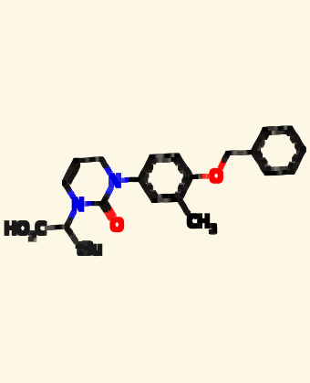 Cc1cc(N2CC=CN(C(C(=O)O)C(C)(C)C)C2=O)ccc1OCc1ccccc1